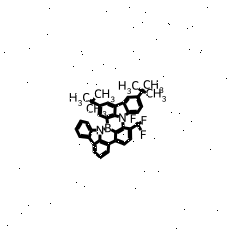 CC(C)(C)c1ccc2c(c1)c1cc(C(C)(C)C)cc3c1n2-c1c(C(F)(F)F)ccc2c1B3n1c3ccccc3c3cccc-2c31